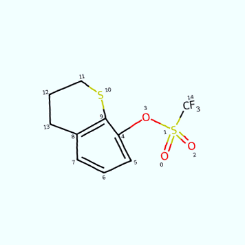 O=S(=O)(Oc1cccc2c1SCCC2)C(F)(F)F